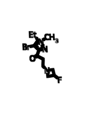 CCc1c(Br)c(C(=O)CCN2CC(F)C2)nn1C